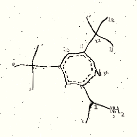 CC(N)c1cc(C(C)(C)C)cc(C(C)(C)C)n1